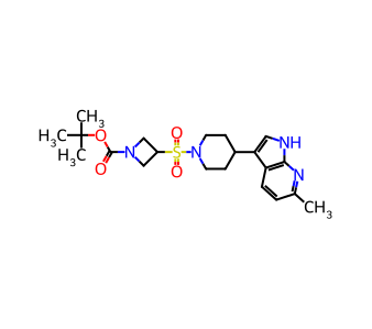 Cc1ccc2c(C3CCN(S(=O)(=O)C4CN(C(=O)OC(C)(C)C)C4)CC3)c[nH]c2n1